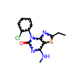 CCc1nc2c(s1)c(NC)nc(=O)n2-c1ccccc1Cl